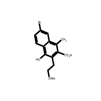 COCCc1c(C(=O)O)c(C)c2cc(Br)ccc2c1O